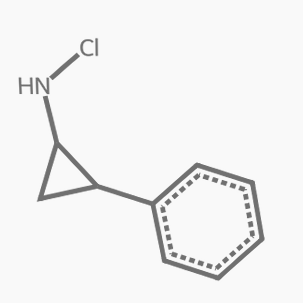 ClNC1CC1c1ccccc1